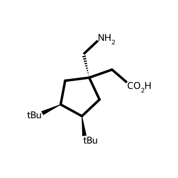 CC(C)(C)[C@@H]1C[C@](CN)(CC(=O)O)C[C@@H]1C(C)(C)C